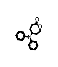 O=C1CCC(N(c2ccccc2)c2ccccc2)CCO1